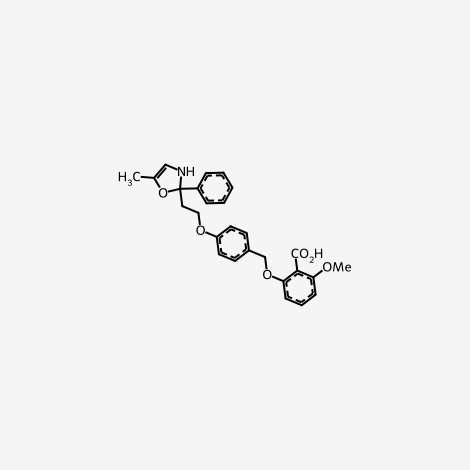 COc1cccc(OCc2ccc(OCCC3(c4ccccc4)NC=C(C)O3)cc2)c1C(=O)O